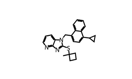 CC1(Sc2nc3ncccc3n2Cc2ccc(C3CC3)c3ccccc23)CCC1